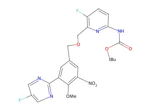 COc1c(-c2ncc(F)cn2)cc(COCc2nc(NC(=O)OC(C)(C)C)ccc2F)cc1[N+](=O)[O-]